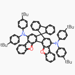 CC(C)(C)c1ccc(N(c2ccc(C(C)(C)C)cc2)c2cc3c(c4oc5ccccc5c24)-c2c(cc(N(c4ccc(C(C)(C)C)cc4)c4ccc(C(C)(C)C)cc4)c4c2oc2ccccc24)C32c3ccccc3-c3ccccc32)cc1